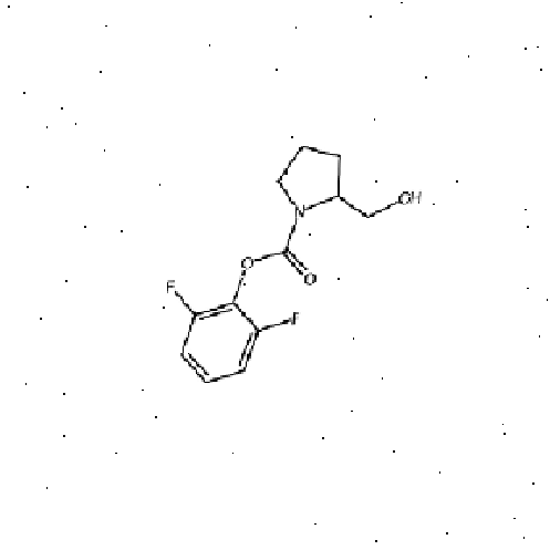 O=C(Oc1c(F)cccc1F)N1CCCC1CO